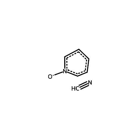 C#N.[O-][n+]1ccccc1